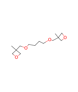 CC1(COCCCCOCC2(C)COC2)COC1